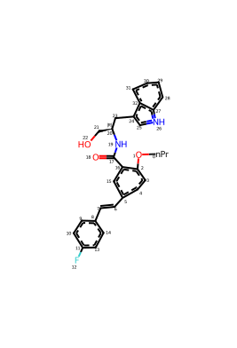 CCCOc1ccc(C=Cc2ccc(F)cc2)cc1C(=O)N[C@@H](CO)Cc1c[nH]c2ccccc12